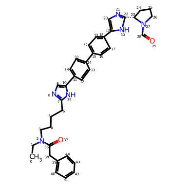 CCN(CCCCc1ncc(-c2ccc(-c3ccc(-c4cnc([C@@H]5CCCN5C=O)[nH]4)cc3)cc2)[nH]1)C(=O)Cc1ccccc1